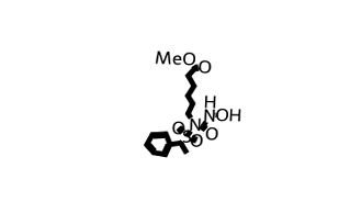 COC(=O)CCCCCN(C(=O)NO)S(=O)(=O)C(C)c1ccccc1